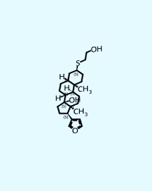 C[C@]12CC[C@H](SCCO)C[C@H]1CC[C@@H]1[C@@H]2CC[C@]2(C)[C@@H](c3ccoc3)CC[C@]12O